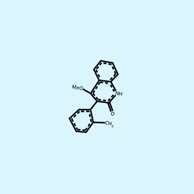 COc1c(-c2ccccc2C)c(=O)[nH]c2ccccc12